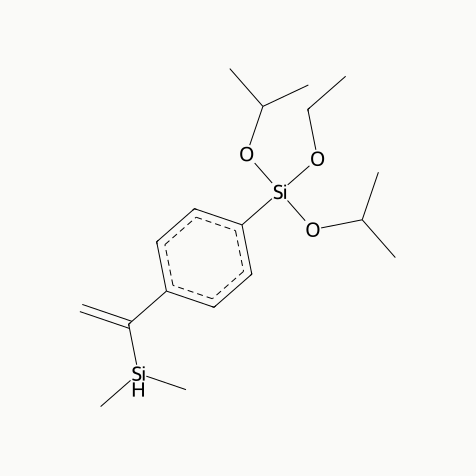 C=C(c1ccc([Si](OCC)(OC(C)C)OC(C)C)cc1)[SiH](C)C